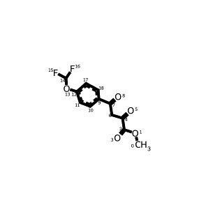 COC(=O)C(=O)CC(=O)c1ccc(OC(F)F)cc1